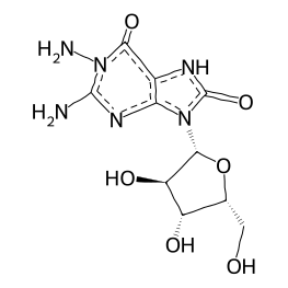 Nc1nc2c([nH]c(=O)n2[C@@H]2O[C@H](CO)[C@H](O)[C@H]2O)c(=O)n1N